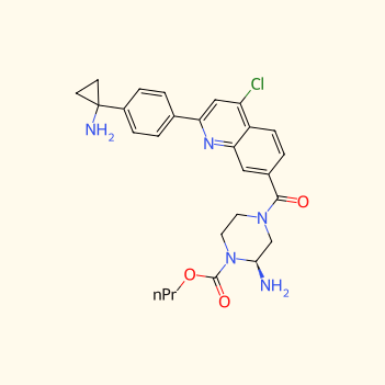 CCCOC(=O)N1CCN(C(=O)c2ccc3c(Cl)cc(-c4ccc(C5(N)CC5)cc4)nc3c2)C[C@H]1N